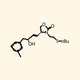 CCCCSCCN1C(=O)OC[C@@H]1/C=C/[C@@H](O)Cc1cccc(C)c1